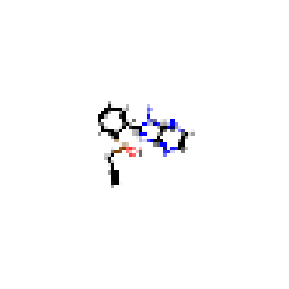 C#CC[S+]([O-])c1ccccc1-c1nc2nccnc2[nH]1